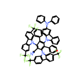 N#Cc1c(-n2c3cc(C(F)(F)F)ccc3c3ccc(C(F)(F)F)cc32)c(-c2ccccc2)c(-n2c3ccccc3c3cc(N(c4ccccc4)c4ccccc4)ccc32)c(-c2ccccc2)c1-n1c2cc(C(F)(F)F)ccc2c2ccc(C(F)(F)F)cc21